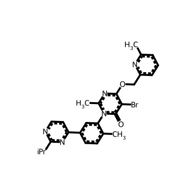 Cc1cccc(COc2nc(C)n(-c3cc(-c4ccnc(C(C)C)n4)ccc3C)c(=O)c2Br)n1